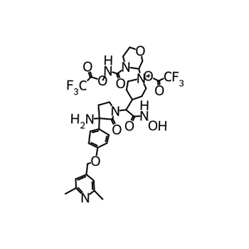 Cc1cc(COc2ccc(C3(N)CCN(C(C(=O)NO)C4CC[N+](OC(=O)C(F)(F)F)(C5COCCN5C(=O)NOC(=O)C(F)(F)F)CC4)C3=O)cc2)cc(C)n1